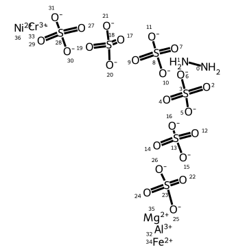 NN.O=S(=O)([O-])[O-].O=S(=O)([O-])[O-].O=S(=O)([O-])[O-].O=S(=O)([O-])[O-].O=S(=O)([O-])[O-].O=S(=O)([O-])[O-].[Al+3].[Cr+3].[Fe+2].[Mg+2].[Ni+2]